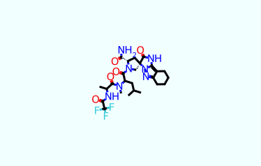 CC(C)CC(C(=O)N1C[C@]2(C[C@H]1C(N)=O)C(=O)Nc1c3c(nn12)CCCC3)N(C)C(=O)C(C)NC(=O)C(F)(F)F